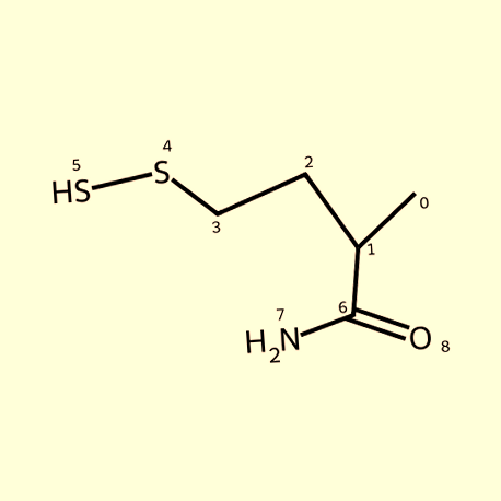 CC(CCSS)C(N)=O